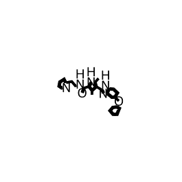 Cc1[nH]c(C(=O)NCCc2ccccn2)c(C)c1-c1nc2cc(Oc3ccccc3)ccc2[nH]1